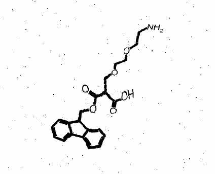 NCCOCCOCC(C(=O)O)C(=O)OCC1c2ccccc2-c2ccccc21